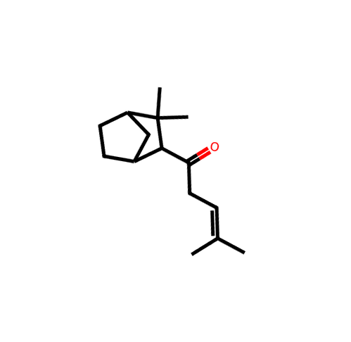 CC(C)=CCC(=O)C1C2CCC(C2)C1(C)C